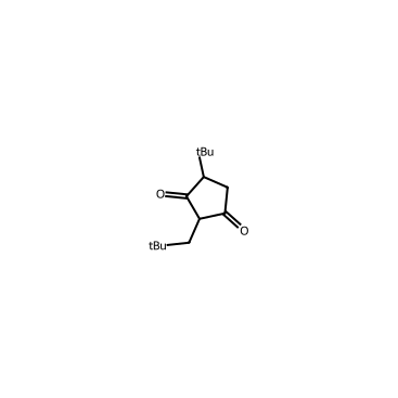 CC(C)(C)CC1C(=O)CC(C(C)(C)C)C1=O